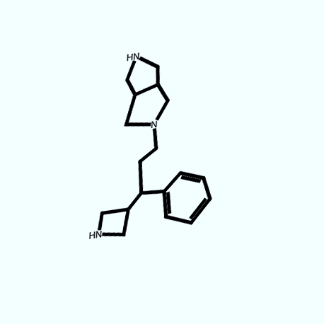 c1ccc(C(CCN2CC3CNCC3C2)C2CNC2)cc1